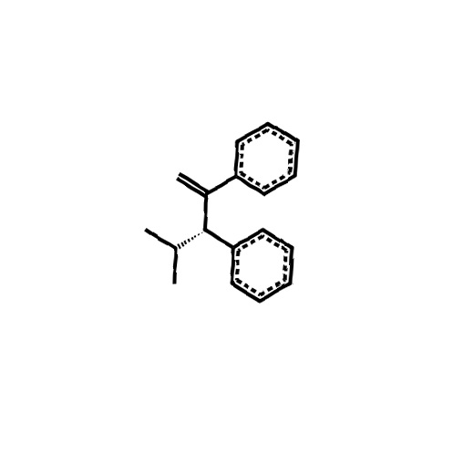 C=C(c1ccccc1)[C@H](c1ccccc1)C(C)C